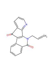 C=CCn1c2c(c3ccccc3c1=O)C(=O)c1cccnc1-2